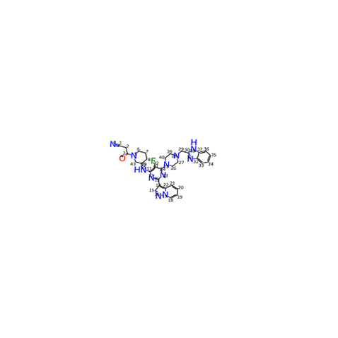 N#CCC(=O)N1CCC[C@@H](Nc2nc(-c3cnn4ccccc34)nc(N3CCN(Cc4nc5ccccc5[nH]4)CC3)c2F)C1